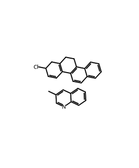 Cc1cnc2ccccc2c1.ClC1C=CC2=C(CCc3c2ccc2ccccc32)C1